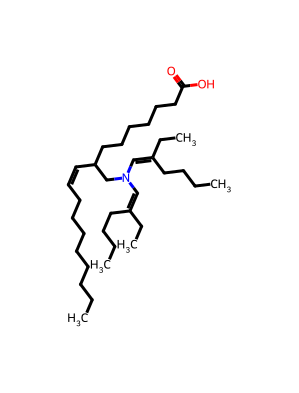 CCCCCCCC/C=C\C(CCCCCCC(=O)O)CN(/C=C(/CC)CCCC)/C=C(/CC)CCCC